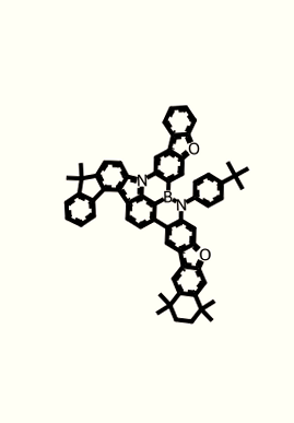 CC(C)(C)c1ccc(N2B3c4cc5oc6ccccc6c5cc4-n4c5ccc6c(c5c5ccc(c3c54)-c3cc4c(cc32)oc2cc3c(cc24)C(C)(C)CCC3(C)C)-c2ccccc2C6(C)C)cc1